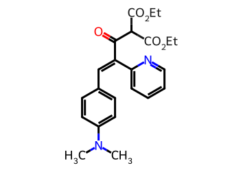 CCOC(=O)C(C(=O)OCC)C(=O)C(=Cc1ccc(N(C)C)cc1)c1ccccn1